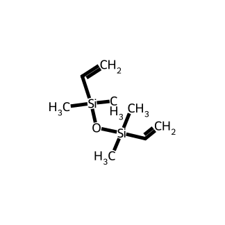 C=C[Si](C)(C)O[Si](C)(C)C=C